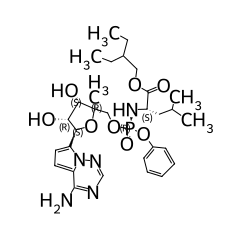 CCC(CC)COC(=O)[C@H](CC(C)C)N[P@@](=O)(OC[C@@]1(C)O[C@@H](c2ccc3c(N)ncnn23)[C@H](O)[C@@H]1O)Oc1ccccc1